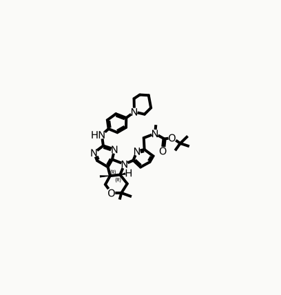 CN(Cc1cccc(N2c3nc(Nc4ccc(N5CCCCC5)cc4)ncc3[C@@]3(C)COC(C)(C)C[C@@H]23)n1)C(=O)OC(C)(C)C